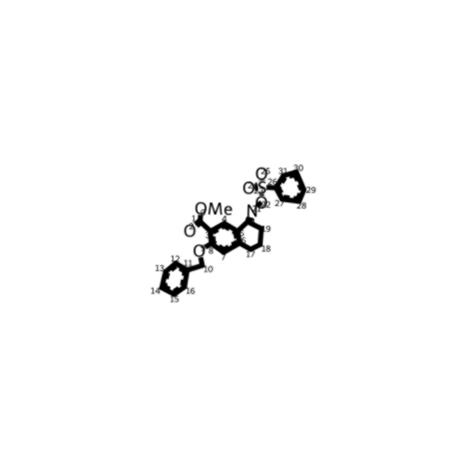 COC(=O)c1cc2c(cc1OCc1ccccc1)CCCC2=NOS(=O)(=O)c1ccccc1